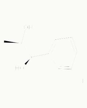 C[C@@H](O)[C@H](O)c1cccc(I)c1